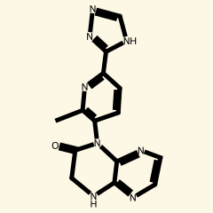 Cc1nc(-c2nnc[nH]2)ccc1N1C(=O)CNc2nccnc21